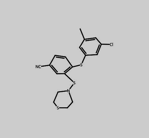 Cc1cc(Cl)cc(Sc2ccc(C#N)cc2SN2CCSCC2)c1